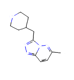 CC(C)(C)c1ccc2nnc(CC3CCNCC3)n2n1